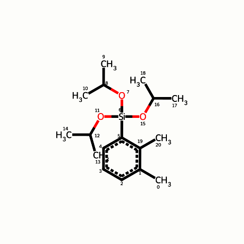 Cc1cccc([Si](OC(C)C)(OC(C)C)OC(C)C)c1C